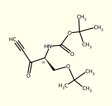 C#CC(=O)[C@H](COC(C)(C)C)NC(=O)OC(C)(C)C